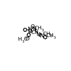 COc1ccc(-n2c(-c3ccccc3)nc(C(=O)N(C)CCCN3CCN(c4cccc(C)c4C)CC3)c2C)cc1